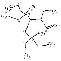 CCC(C)(CC)CC(C(CO)N=O)C(C)(CC)CC